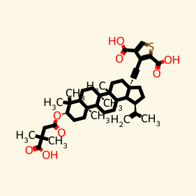 C=C(C)[C@@H]1CC[C@]2(C#Cc3c(C(=O)O)csc3C(=O)O)CC[C@]3(C)C(CCC4[C@@]5(C)CC[C@H](OC(=O)CC(C)(C)C(=O)O)C(C)(C)C5CC[C@]43C)C12